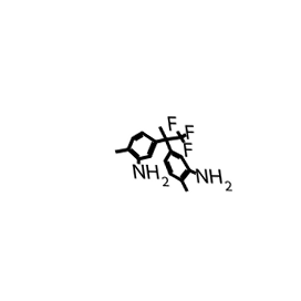 Cc1ccc(C(C)(c2ccc(C)c(N)c2)C(F)(F)F)cc1N